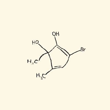 CC1=CC(Br)=C(O)C1(C)O